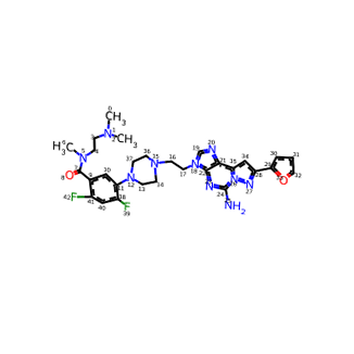 CN(C)CCN(C)C(=O)c1cc(N2CCN(CCn3cnc4c3nc(N)n3nc(-c5ccco5)cc43)CC2)c(F)cc1F